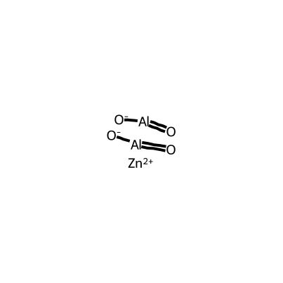 [O]=[Al][O-].[O]=[Al][O-].[Zn+2]